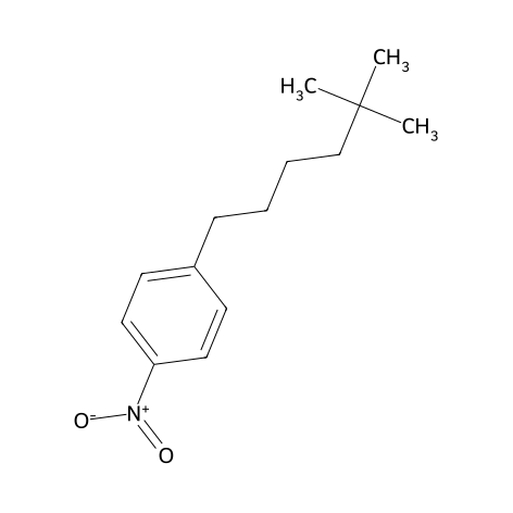 CC(C)(C)CCCCc1ccc([N+](=O)[O-])cc1